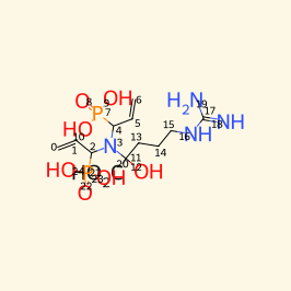 C=CC(N(C(C=C)P(=O)(O)O)C(O)(CCCNC(=N)N)C(=O)O)P(=O)(O)O